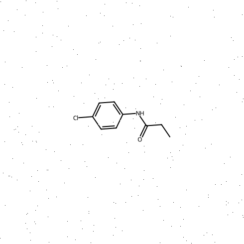 CCC(=O)Nc1ccc(Cl)cc1